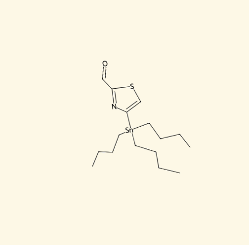 CCC[CH2][Sn]([CH2]CCC)([CH2]CCC)[c]1csc(C=O)n1